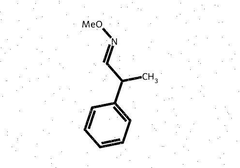 CO/N=C/C(C)c1ccccc1